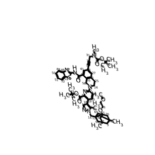 COCCOC12CC3(C)CC(C)(CC(Cn4ncc(-c5ccc(N6CCc7cc(C#CCN(C)C(=O)OC(C)(C)C)cc(C(=O)Nc8nc9ccccc9s8)c7C6)nc5C(=O)OC(C)(C)C)c4C)(C3)C1)C2